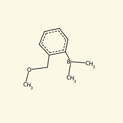 COCc1cccc[c]1[Bi]([CH3])[CH3]